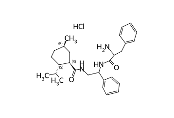 CC(C)[C@@H]1CC[C@@H](C)C[C@H]1C(=O)NCC(NC(=O)C(N)Cc1ccccc1)c1ccccc1.Cl